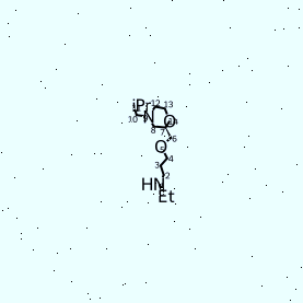 CCNCCCOC[C@H]1CN(CC(C)C)CCO1